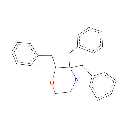 c1ccc(CC2OCC[N]C2(Cc2ccccc2)Cc2ccccc2)cc1